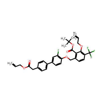 C=CCOC(=O)Cc1ccc(-c2ccc(OCc3ccc(C(F)(F)F)c(OCC=C)c3C(=O)OC(C)(C)C)c(F)c2)cc1